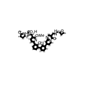 COc1nc(-c2cccc(-c3cccc(-c4ccn5c(=O)c(CNC[C@@H]6CCO6)cnc5c4)c3Cl)c2Cl)ccc1CN(C[C@@H]1CCC(=O)N1)C(=O)O